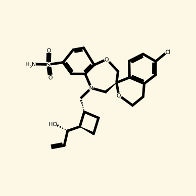 C=C[C@H](O)[C@@H]1CC[C@H]1CN1C[C@]2(COc3ccc(S(N)(=O)=O)cc31)OCCc1cc(Cl)ccc12